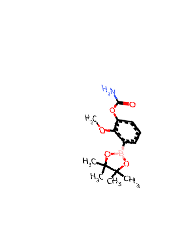 COc1c(OC(N)=O)cccc1B1OC(C)(C)C(C)(C)O1